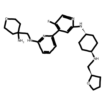 NC1(CNc2cccc(-c3cc(N[C@H]4CC[C@H](NC[C@H]5CCCO5)CC4)ncc3F)n2)CCOCC1